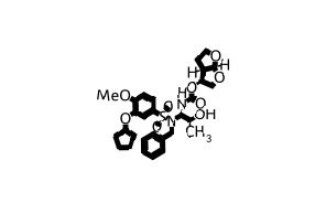 COc1ccc(S(=O)(=O)N(Cc2ccccc2)[C@H](NC(=O)O[C@@H]2CO[C@@H]3OCC[C@@H]32)[C@@H](C)O)cc1OC1CCCC1